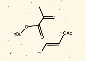 C=C(C)C(=O)OCCCC.CCC=COC(C)=O